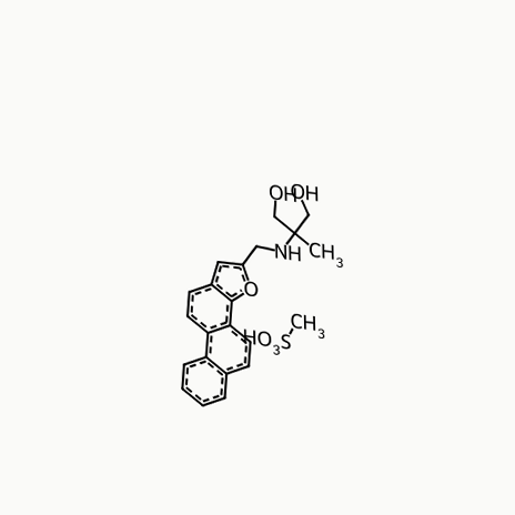 CC(CO)(CO)NCc1cc2ccc3c4ccccc4ccc3c2o1.CS(=O)(=O)O